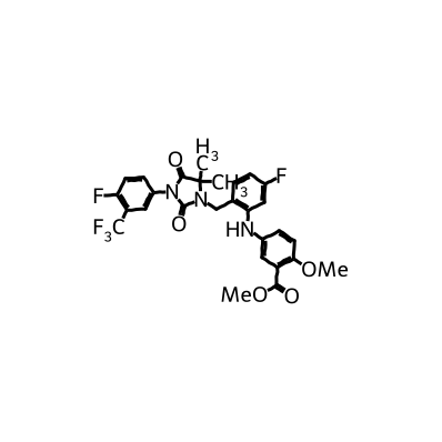 COC(=O)c1cc(Nc2cc(F)ccc2CN2C(=O)N(c3ccc(F)c(C(F)(F)F)c3)C(=O)C2(C)C)ccc1OC